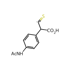 CC(=O)Nc1ccc(C([C]=S)C(=O)O)cc1